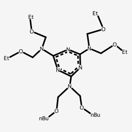 CCCCOCN(COCCCC)c1nc(N(COCC)COCC)nc(N(COCC)COCC)n1